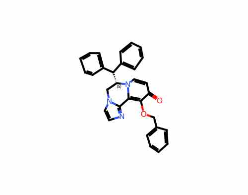 O=c1ccn2c(c1OCc1ccccc1)-c1nccn1C[C@@H]2C(c1ccccc1)c1ccccc1